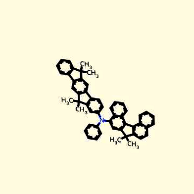 CC1(C)c2ccccc2-c2cc3c(cc21)-c1ccc(N(c2ccccc2)c2cc4c(c5ccccc25)-c2c(ccc5ccccc25)C4(C)C)cc1C3(C)C